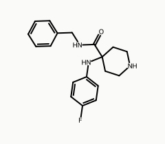 O=C(NCc1ccccc1)C1(Nc2ccc(F)cc2)CCNCC1